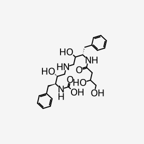 O=C(O)N[C@@H](Cc1ccccc1)[C@H](O)CNCC(O)[C@H](Cc1ccccc1)NC(=O)CC(O)CO